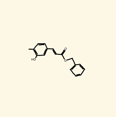 Cc1ccc(/C=C/C(=O)OCc2ccccc2)cc1O